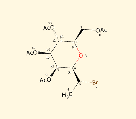 CC(=O)OC[C@H]1O[C@@H](C(C)Br)[C@@H](OC(C)=O)[C@@H](OC(C)=O)[C@@H]1OC(C)=O